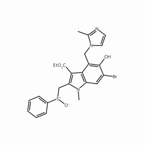 CCOC(=O)c1c(C[S+]([O-])c2ccccc2)n(C)c2cc(Br)c(O)c(Cn3ccnc3C)c12